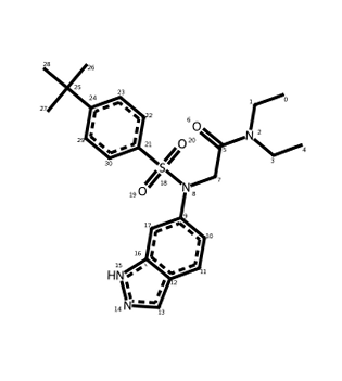 CCN(CC)C(=O)CN(c1ccc2cn[nH]c2c1)S(=O)(=O)c1ccc(C(C)(C)C)cc1